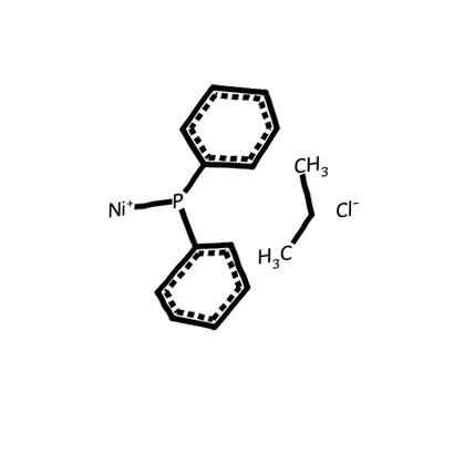 CCC.[Cl-].[Ni+][P](c1ccccc1)c1ccccc1